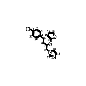 Clc1ccc(CCC(Cn2ccnc2)Sc2ccco2)cc1